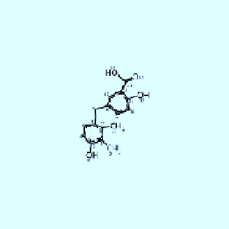 Cc1c(O)ccc(Cc2ccc(O)c(C(=O)O)c2)c1C